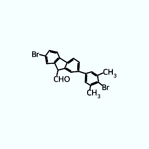 Cc1cc(-c2ccc3c(c2)C(C=O)c2cc(Br)ccc2-3)cc(C)c1Br